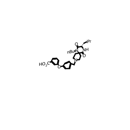 CCCCN1C(=O)[C@H](CC(C)C)NC(=O)C12CCN(Cc1ccc(Oc3cccc(C(=O)O)c3)cc1)CC2